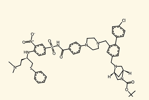 CN(C)CC[C@H](CSc1ccccc1)Nc1ccc(S(=O)(=O)NC(=O)c2ccc(N3CCN(Cc4cc(CN5C[C@H]6C[C@@H]5CN6C(=O)OC(C)(C)C)ccc4-c4ccc(Cl)cc4)CC3)cc2)cc1[N+](=O)[O-]